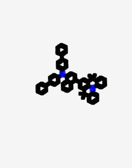 CC1(C)c2ccccc2N2c3ccccc3C(C)(C)c3cc(-c4ccc(N(c5ccc(-c6ccccc6)cc5)c5ccc(-c6ccccc6)cc5)c5ccccc45)cc1c32